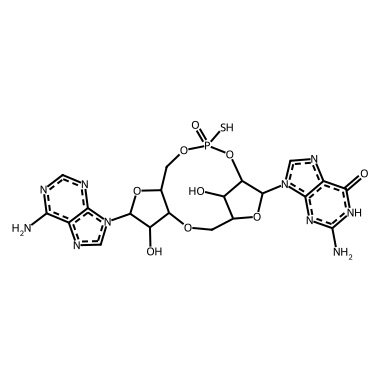 Nc1nc2c(ncn2C2OC3COC4C(COP(=O)(S)OC2C3O)OC(n2cnc3c(N)ncnc32)C4O)c(=O)[nH]1